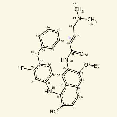 CCOc1cc2ncc(C#N)c(Nc3ccc(Oc4ccccc4)c(F)c3)c2cc1NC(=O)/C=C/CN(C)C